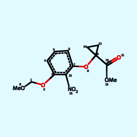 COCOc1cccc(OC2(C(=O)OC)CC2)c1[N+](=O)[O-]